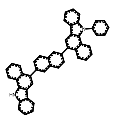 c1ccc(-n2c3ccccc3c3cc(-c4ccc5cc(-c6cc7c8ccccc8[nH]c7c7ccccc67)ccc5c4)c4ccccc4c32)cc1